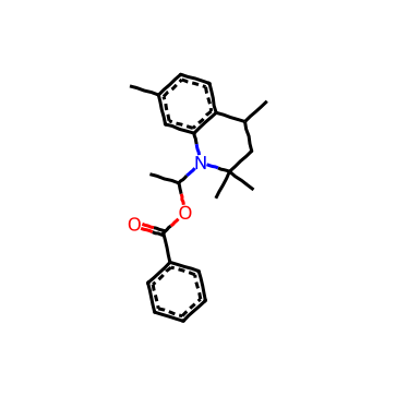 Cc1ccc2c(c1)N(C(C)OC(=O)c1ccccc1)C(C)(C)CC2C